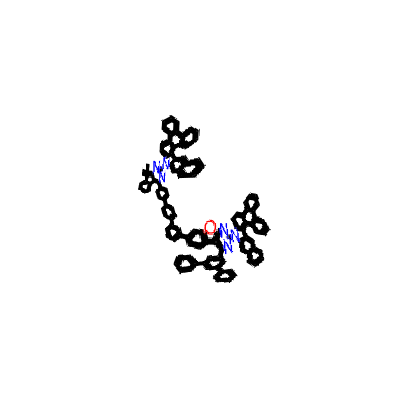 CC1(C)c2ccccc2-c2c(-c3ccc(-c4ccc(-c5cccc(-c6ccc7c(c6)oc6nc(-n8c9cc%10ccccc%10cc9c9c%10c%11ccccc%11c%11ccccc%11c%10ccc98)nc(-c8cc(-c9ccccc9)cc(-c9ccccc9)c8)c67)c5)cc4)cc3)nc(-n3c4cc5ccccc5cc4c4c5c6ccccc6c6ccccc6c5ccc43)nc21